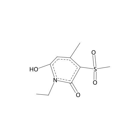 CCn1c(O)cc(C)c(S(C)(=O)=O)c1=O